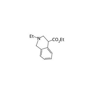 CCOC(=O)C1CN(CC)Cc2ccccc21